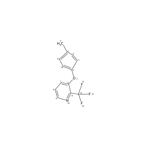 Cc1ccc(Oc2cccnc2C(F)(F)F)cc1